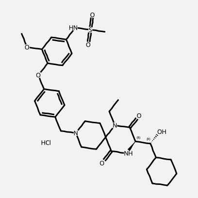 CCN1C(=O)[C@@H]([C@H](O)C2CCCCC2)NC(=O)C12CCN(Cc1ccc(Oc3ccc(NS(C)(=O)=O)cc3OC)cc1)CC2.Cl